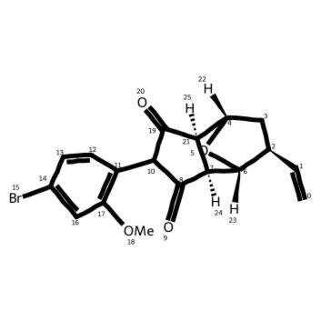 C=C[C@@H]1C[C@@H]2O[C@H]1[C@H]1C(=O)C(c3ccc(Br)cc3OC)C(=O)[C@H]12